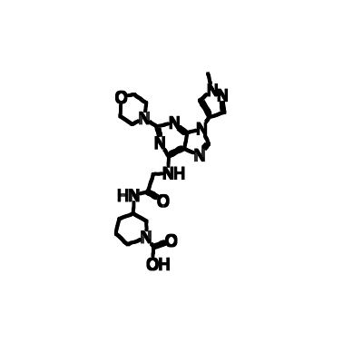 Cn1cc(-n2cnc3c(NCC(=O)NC4CCCN(C(=O)O)C4)nc(N4CCOCC4)nc32)cn1